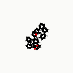 c1ccc(-c2ccccc2-n2c3ccccc3c3cccc(-n4c5ccccc5c5cc([Si](c6ccccc6)(c6ccccc6)c6ccccc6)c(-c6ccccc6)cc54)c32)cc1